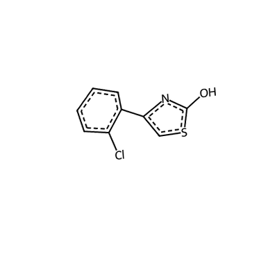 Oc1nc(-c2ccccc2Cl)cs1